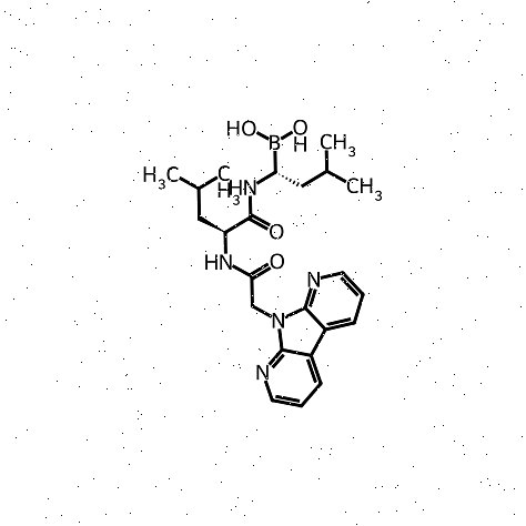 CC(C)C[C@H](NC(=O)[C@H](CC(C)C)NC(=O)Cn1c2ncccc2c2cccnc21)B(O)O